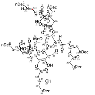 CCCCCCCCCCCCCC(=O)O[C@H](CCCCCCCCCCC)CC(=O)OC1C(NC(=O)C[C@@H](CCCCCCCCCCC)OC(=O)CCCCCCCCCCC)[C@H](OCC2O[C@H](OP(=O)(O)O)C(NC(=O)C[C@H](O)CCCCCCCCCCC)C(OC(=O)C[C@H](O)CCCCCCCCCCC)[C@@H]2O)O[C@H](COC)[C@@H]1OP(=O)(O)OP(=O)(O)OCCN